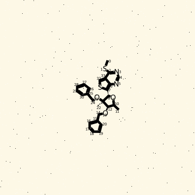 CSc1ncnc2c([C@@H]3OC(C)[C@@H](OCc4ccccc4)[C@@]3(C)OCc3ccccc3)scc12